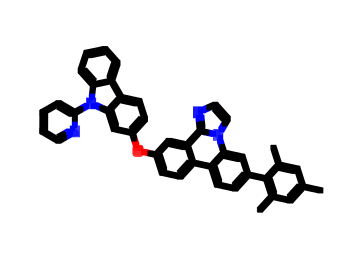 Cc1cc(C)c(-c2ccc3c4ccc(Oc5ccc6c7ccccc7n(-c7ccccn7)c6c5)cc4c4nccn4c3c2)c(C)c1